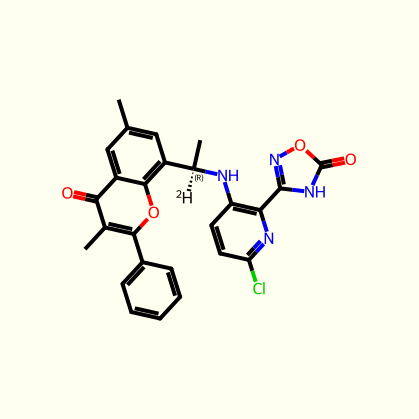 [2H][C@](C)(Nc1ccc(Cl)nc1-c1noc(=O)[nH]1)c1cc(C)cc2c(=O)c(C)c(-c3ccccc3)oc12